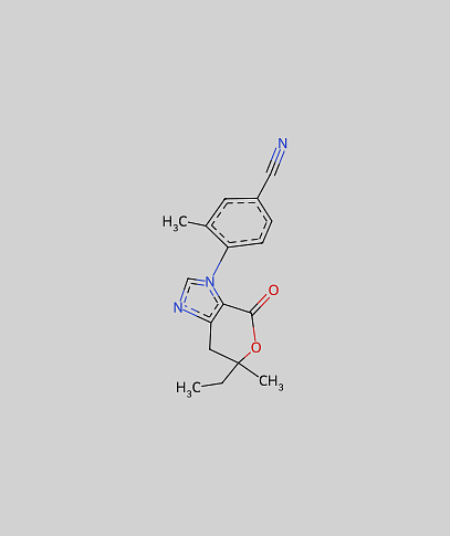 CCC1(C)Cc2ncn(-c3ccc(C#N)cc3C)c2C(=O)O1